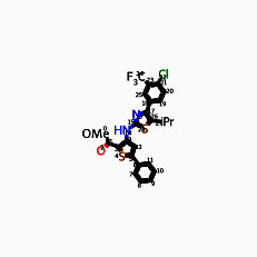 COC(=O)c1sc(-c2ccccc2)cc1Nc1nc(-c2ccc(Cl)c(C(F)(F)F)c2)c(C(C)C)s1